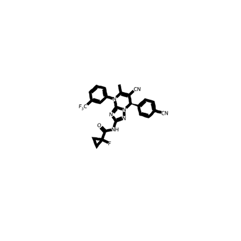 CC1=C(C#N)[C@@H](c2ccc(C#N)cc2)n2nc(NC(=O)C3(F)CC3)nc2N1c1cccc(C(F)(F)F)c1